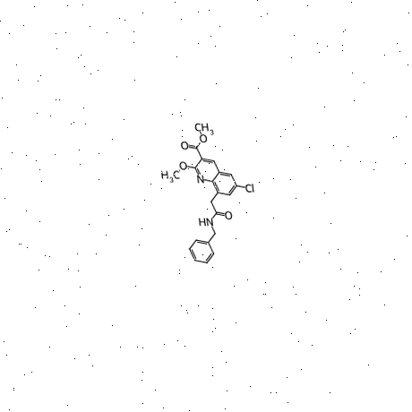 COC(=O)c1cc2cc(Cl)cc(CC(=O)NCc3ccccc3)c2nc1OC